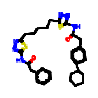 O=C(Cc1ccccc1)Nc1nnc(CCCCCc2nnc(NC(=O)Cc3ccc(C4CCCCC4)cc3)s2)s1